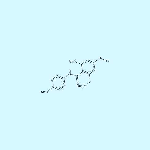 CCOc1cc(CC(=O)O)c(C(=O)Nc2ccc(OC)cc2)c(OC)c1